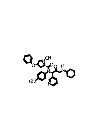 CC(C)(C)c1ccc(N(C(=O)[C@H]2C[C@@H](Oc3ccccc3)CN2C#N)[C@@H](C(=O)CNC2CCCCC2)c2cccnc2)cc1